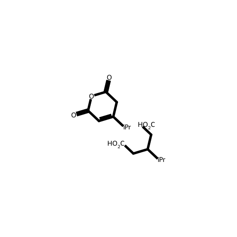 CC(C)C(CC(=O)O)CC(=O)O.CC(C)C1=CC(=O)OC(=O)C1